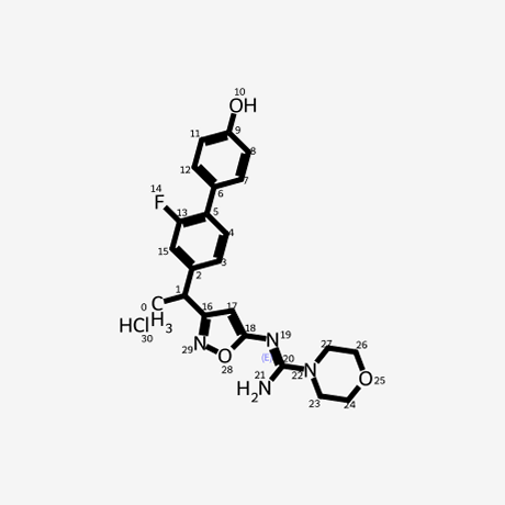 CC(c1ccc(-c2ccc(O)cc2)c(F)c1)c1cc(/N=C(\N)N2CCOCC2)on1.Cl